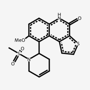 COc1ccc2[nH]c(=O)c3sccc3c2c1C1CC=CCN1S(C)(=O)=O